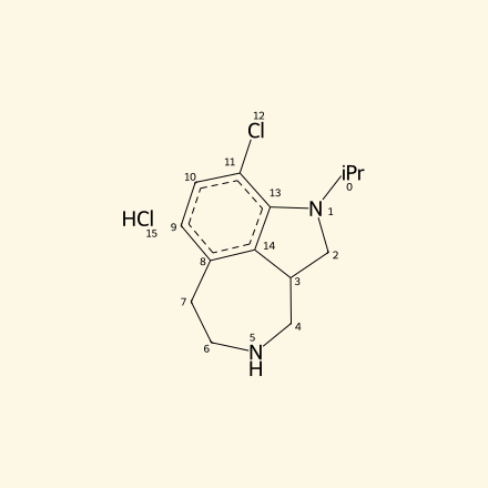 CC(C)N1CC2CNCCc3ccc(Cl)c1c32.Cl